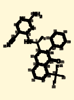 C[C@H](Nc1nc(N)ncc1C#N)c1cc2cccc(C(C)(F)F)c2c(=O)n1-c1ccccc1